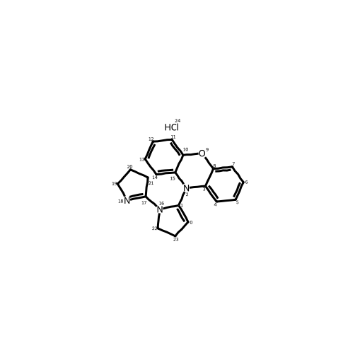 C1=C(N2c3ccccc3Oc3ccccc32)N(C2=NCCC2)CC1.Cl